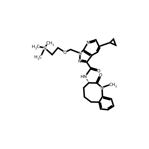 CN1C(=O)[C@@H](NC(=O)c2nn(COCC[Si](C)(C)C)c3ncc(C4CC4)cc23)CCCc2ccccc21